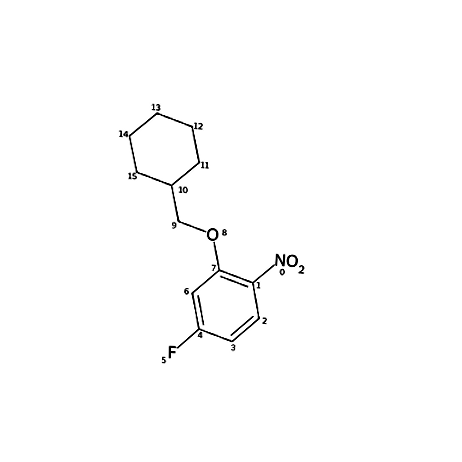 O=[N+]([O-])c1ccc(F)cc1OCC1CCCCC1